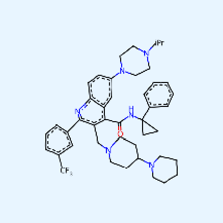 CC(C)N1CCN(c2ccc3nc(-c4cccc(C(F)(F)F)c4)c(CN4CCC(N5CCCCC5)CC4)c(C(=O)NC4(c5ccccc5)CC4)c3c2)CC1